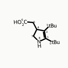 CC(C)(C)C1=C(C(C)(C)C)C(CC(=O)O)CN1